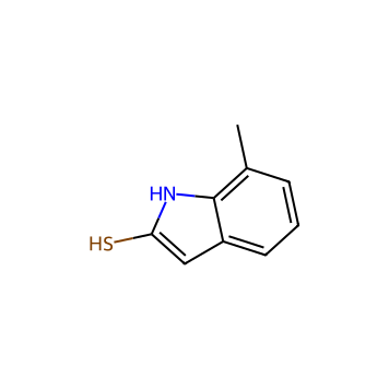 Cc1cccc2cc(S)[nH]c12